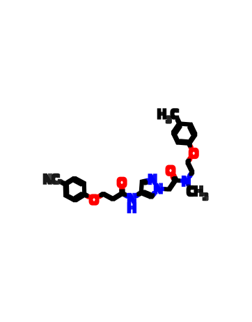 Cc1ccc(OCCN(C)C(=O)Cn2cc(NC(=O)CCOc3ccc(C#N)cc3)cn2)cc1